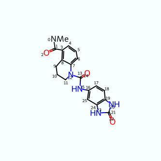 CNC(=O)c1cccc2c1CCCN2C(=O)Nc1ccc2[nH]c(=O)[nH]c2c1